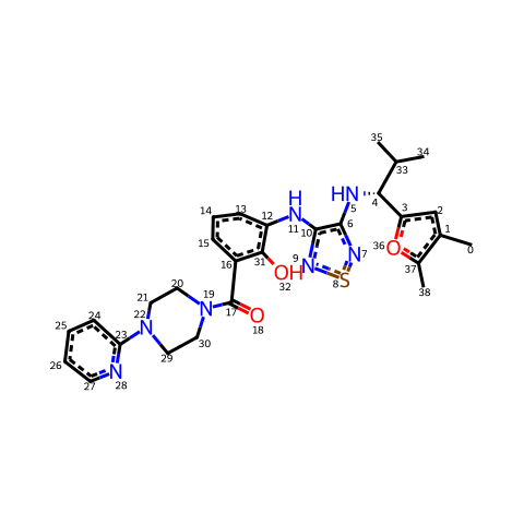 Cc1cc([C@H](Nc2nsnc2Nc2cccc(C(=O)N3CCN(c4ccccn4)CC3)c2O)C(C)C)oc1C